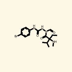 CCC(NC)(C(=O)N(C=O)NC(=O)Nc1ccc(Br)cc1)C(C)C